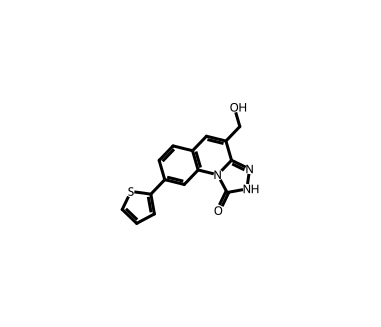 O=c1[nH]nc2c(CO)cc3ccc(-c4cccs4)cc3n12